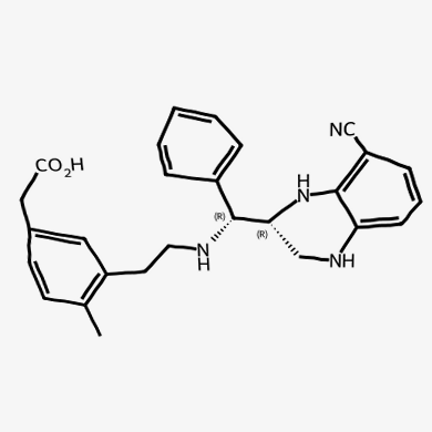 Cc1ccc(CC(=O)O)cc1CCN[C@H](c1ccccc1)[C@H]1CNc2cccc(C#N)c2N1